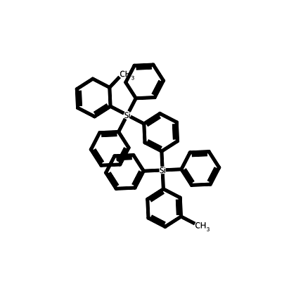 Cc1cccc([Si](c2ccccc2)(c2ccccc2)c2cccc([Si](C3=CC=CCC3C)(c3ccccc3)C3C=CC=CC3)c2)c1